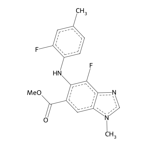 COC(=O)c1cc2c(ncn2C)c(F)c1Nc1ccc(C)cc1F